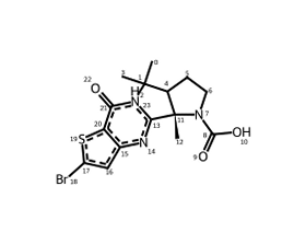 CC(C)(C)C1CCN(C(=O)O)[C@]1(C)c1nc2cc(Br)sc2c(=O)[nH]1